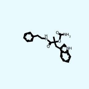 CC(Cc1c[nH]c2ccccc12)(OC(N)=O)C(=O)NCCc1ccccc1